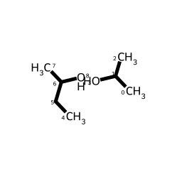 CC(C)O.CCC(C)O